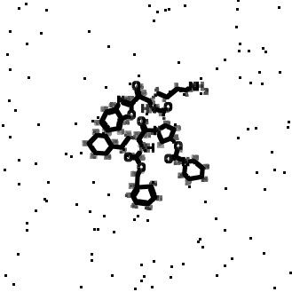 NCCCC[C@H](NC(=O)[C@@H]1C[C@@H](OC(=O)N2CCCCC2)CN1C(=O)[C@@H](CCC1CCCCC1)NC(=O)OCc1ccccc1)C(=O)c1nc2ccccc2o1